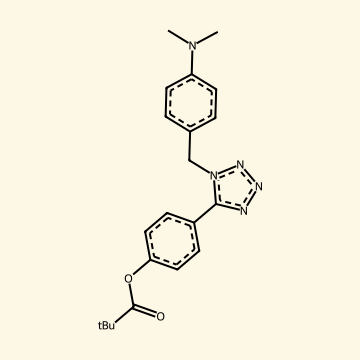 CN(C)c1ccc(Cn2nnnc2-c2ccc(OC(=O)C(C)(C)C)cc2)cc1